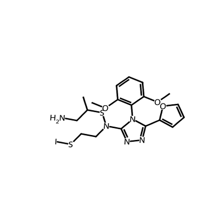 COc1cccc(OC)c1-n1c(-c2ccco2)nnc1N(CCSI)SC(C)CN